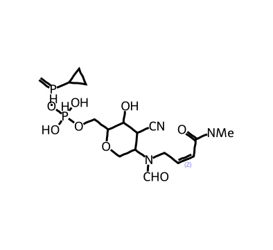 C=[PH](O[PH](O)(O)OCC1OCC(N(C=O)C/C=C\C(=O)NC)C(C#N)C1O)C1CC1